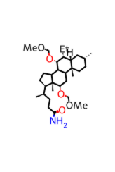 CC[C@H]1[C@@H](OCOC)C2C3CC[C@H]([C@H](C)CCC(N)=O)[C@@]3(C)[C@@H](OCOC)CC2[C@@]2(C)CC[C@@H](C)C[C@@H]12